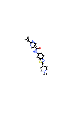 CN1CCC(c2nc3ccc(NC(=O)c4cnc(C5CC5)nc4)cc3s2)CC1